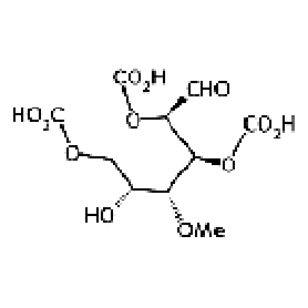 CO[C@@H]([C@H](OC(=O)O)[C@H](C=O)OC(=O)O)[C@H](O)COC(=O)O